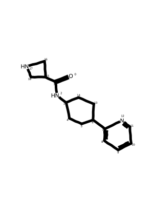 O=C(NC1CCC(c2ccccn2)CC1)C1CNC1